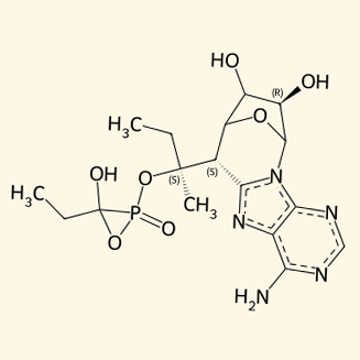 CCC1(O)OP1(=O)O[C@@](C)(CC)[C@H]1c2nc3c(N)ncnc3n2C2OC1C(O)[C@H]2O